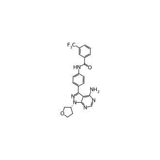 Nc1ncnc2c1c(-c1ccc(NC(=O)c3cccc(C(F)(F)F)c3)cc1)nn2[C@@H]1CCOC1